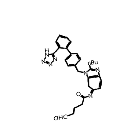 CCCCc1nc2c(n1Cc1ccc(-c3ccccc3-c3nnn[nH]3)cc1)CC(=NC(=O)CCCC=O)C=C2